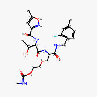 CNC(=O)OCCOCC(NC(=O)C(NC(=O)c1cc(C)on1)C(C)O)C(=O)NCc1ccc(C)cc1F